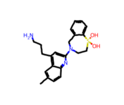 Cc1ccc2nc(N3CCS(O)(O)c4ccccc4C3)cc(CCCN)c2c1